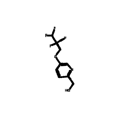 OCc1ccc(OCC(F)(F)C(F)F)cn1